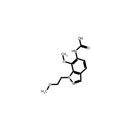 COCCn1ncc2ccc(NC(=O)O)c(OC)c21